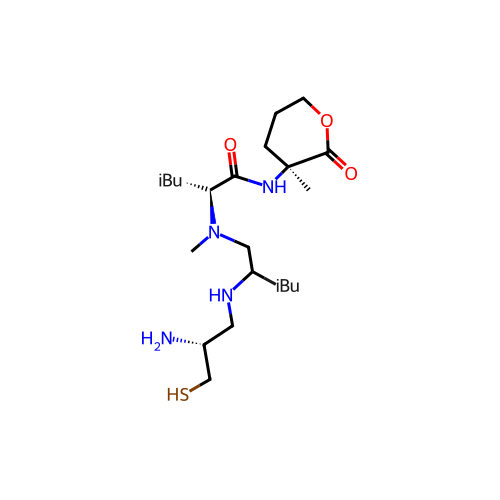 CCC(C)C(CN(C)[C@H](C(=O)N[C@@]1(C)CCCOC1=O)[C@@H](C)CC)NC[C@@H](N)CS